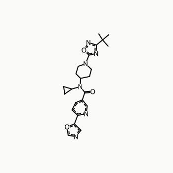 CC(C)(C)c1noc(N2CCC(N(C(=O)c3ccc(-c4cnco4)nc3)C3CC3)CC2)n1